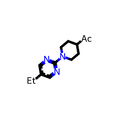 CCc1cnc(N2CCC(C(C)=O)CC2)nc1